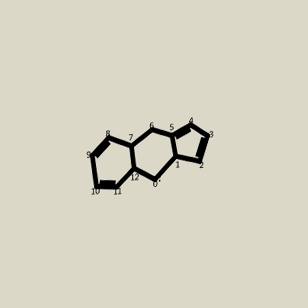 [C]1C2C=CC=C2CC2C=CC=CC12